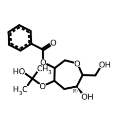 CC(C)(O)OC1C[C@H](O)C(CO)OCC1OC(=O)c1ccccc1